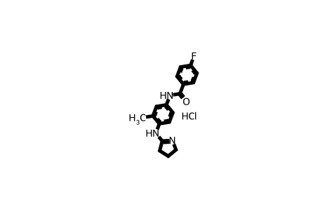 Cc1cc(NC(=O)c2ccc(F)cc2)ccc1NC1=NCCC1.Cl